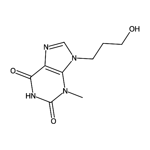 Cn1c(=O)[nH]c(=O)c2ncn(CCCO)c21